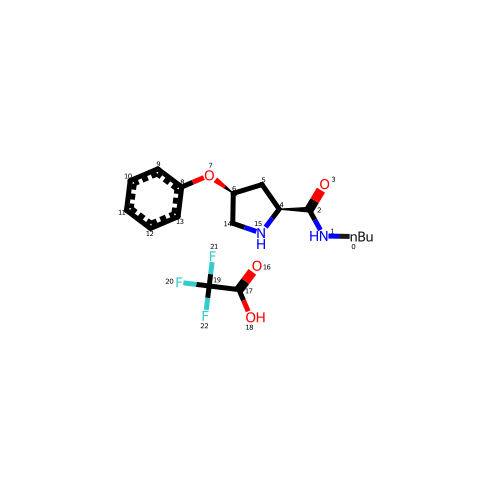 CCCCNC(=O)[C@@H]1C[C@H](Oc2ccccc2)CN1.O=C(O)C(F)(F)F